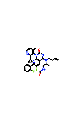 C=CCCN(/C(=N/C)c1cc(F)c(-c2ccccc2F)nc1N(C=O)c1c(C)ccnc1C1CC1)C(C)CNC=O